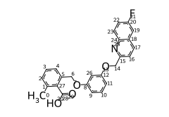 Cc1cccc(COc2cccc(OCc3ccc4cc(F)ccc4n3)c2)c1C(=O)O